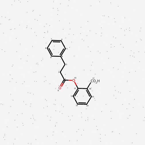 O=C(CCc1ccccc1)Oc1ccccc1C(=O)O